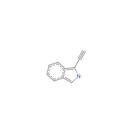 [C]#CC1=c2ccccc2=C[N]1